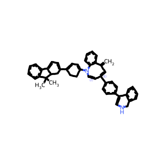 C=C1/C=C(c2ccc(C3=CNCc4ccccc43)cc2)\C=C/N(C2=CC=C(C3=CC=C4c5ccccc5C(C)(C)C4C3)CC2)c2ccccc21